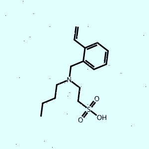 C=Cc1ccccc1CN(CCCC)CCS(=O)(=O)O